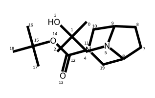 CC(C)(O)CN1C2CCC1CN(C(=O)OC(C)(C)C)C2